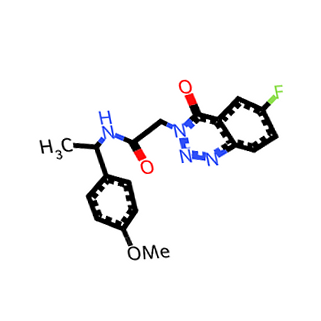 COc1ccc(C(C)NC(=O)Cn2nnc3ccc(F)cc3c2=O)cc1